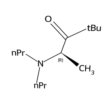 CCCN(CCC)[C@H](C)C(=O)C(C)(C)C